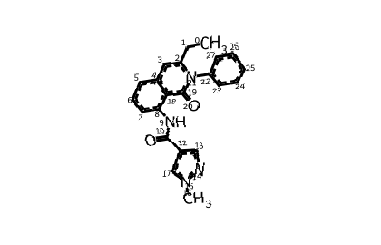 CCc1cc2cccc(NC(=O)c3cnn(C)c3)c2c(=O)n1-c1ccccc1